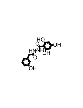 O=C(Cc1cccc(O)c1)NNC(=O)c1c(O)cc(O)cc1O